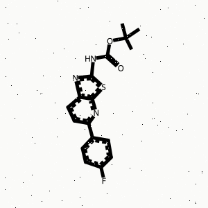 CC(C)(C)OC(=O)Nc1nc2ccc(-c3ccc(F)cc3)nc2s1